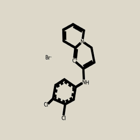 Clc1ccc(NC2=CCN3C=CC=CC3=[C+]2)cc1Cl.[Br-]